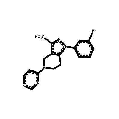 O=C(O)c1nn(-c2cccc(Br)c2)c2c1CN(c1ccncn1)CC2